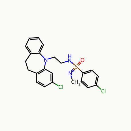 CN=S(=O)(NCCN1c2ccccc2CCc2ccc(Cl)cc21)c1ccc(Cl)cc1